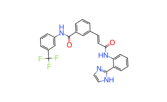 O=C(C=Cc1cccc(C(=O)Nc2cccc(C(F)(F)F)c2)c1)Nc1ccccc1-c1ncc[nH]1